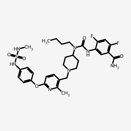 CCCCN(C(=O)Nc1cc(C(N)=O)c(F)cc1F)C1CCN(Cc2ccc(Oc3ccc(NS(=O)(=O)NC)cc3)nc2C)CC1